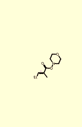 CC/C=C(\C)C(=O)ON1CCOCC1